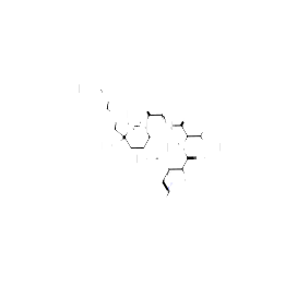 C/C=C/[C@@H](OC)C(C)C(=O)NC(C(=O)N[C@@H](C)C(=O)N1CCCC(C)(COCOC)N1)C(C)C